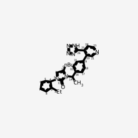 CCCCc1cn(-c2ccccc2CC)c(=O)n1C(C)c1ccc(-c2cnccc2-c2nnn[nH]2)cc1